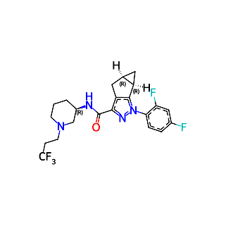 O=C(N[C@@H]1CCCN(CCC(F)(F)F)C1)c1nn(-c2ccc(F)cc2F)c2c1C[C@H]1C[C@@H]21